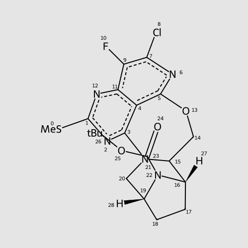 CSc1nc2c3c(nc(Cl)c(F)c3n1)OCC1[C@@H]3CC[C@H](CN21)N3C(=O)OC(C)(C)C